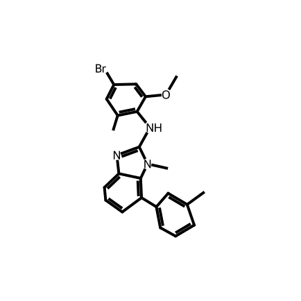 COc1cc(Br)cc(C)c1Nc1nc2cccc(-c3cccc(C)c3)c2n1C